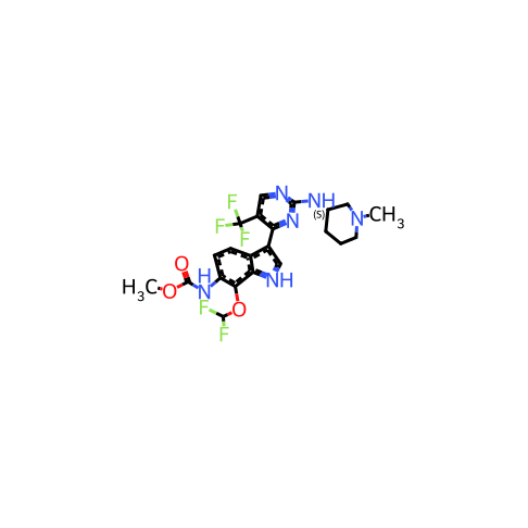 COC(=O)Nc1ccc2c(-c3nc(N[C@H]4CCCN(C)C4)ncc3C(F)(F)F)c[nH]c2c1OC(F)F